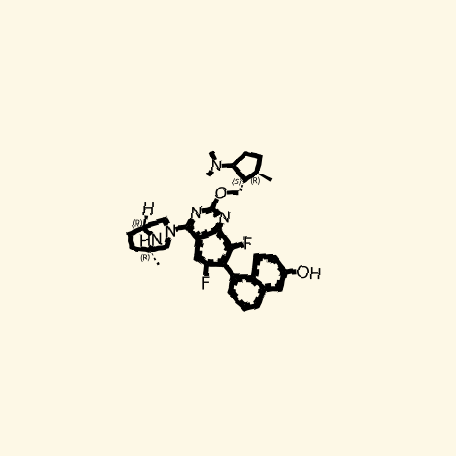 C[C@@H]1CCC(N(C)C)[C@H]1COc1nc(N2C[C@H]3CC[C@](C)(C2)N3)c2cc(F)c(-c3cccc4cc(O)ccc34)c(F)c2n1